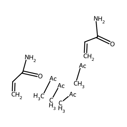 C=CC(N)=O.C=CC(N)=O.CC(C)=O.CC(C)=O.CC(C)=O.CC(C)=O